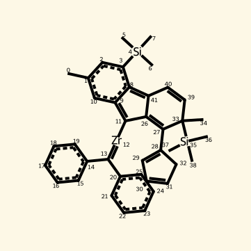 Cc1cc([Si](C)(C)C)c2c(c1)=[C]([Zr]=[C](c1ccccc1)c1ccccc1)C1=C(C3=CC=CC3)C(C)([Si](C)(C)C)C=CC=21